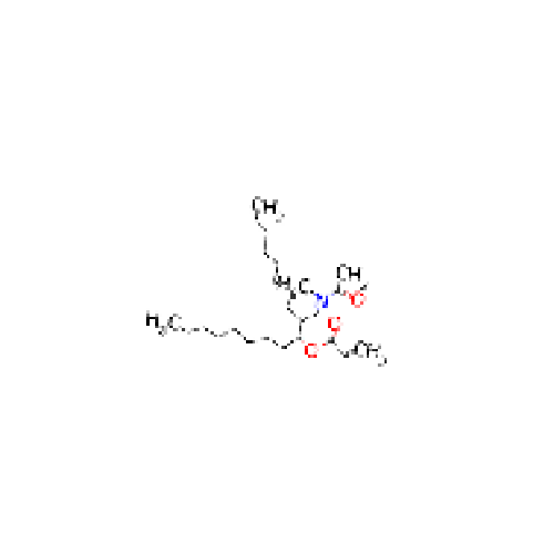 C=CC(=O)OC(CCCCCCCC)C(CCCCCCCC)CN(C)C(C)=O